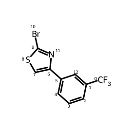 FC(F)(F)c1cccc(-c2csc(Br)n2)c1